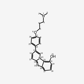 CN(C)CCCOc1ccc(-c2ccc3nc4cccc(O)c4n3c2)cc1